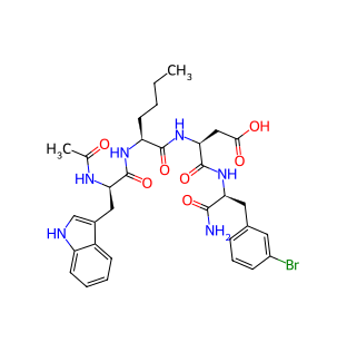 CCCC[C@H](NC(=O)[C@@H](Cc1c[nH]c2ccccc12)NC(C)=O)C(=O)N[C@@H](CC(=O)O)C(=O)N[C@@H](Cc1cccc(Br)c1)C(N)=O